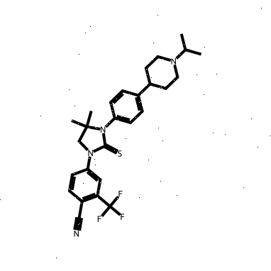 CC(C)N1CCC(c2ccc(N3C(=S)N(c4ccc(C#N)c(C(F)(F)F)c4)CC3(C)C)cc2)CC1